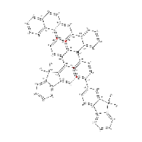 CC1(C)c2ccccc2-c2ccc(-c3ccc(N(c4ccccc4-c4ccc5c(ccc6ccccc65)c4)c4ccccc4-c4cccc5c4C(C)(C)c4ccccc4-5)cc3)cc21